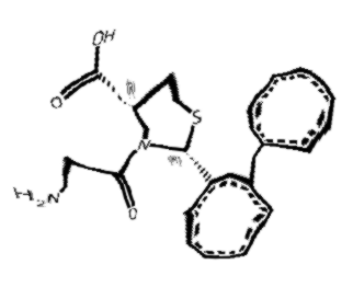 NCC(=O)N1[C@@H](c2ccccc2-c2ccccc2)SC[C@H]1C(=O)O